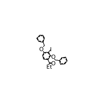 CCC(=O)c1ccc(OCc2ccccc2)c(I)c1OCc1ccccc1